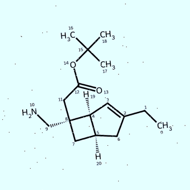 CCC1=C[C@H]2[C@@H](C1)C[C@@]2(CN)CC(=O)OC(C)(C)C